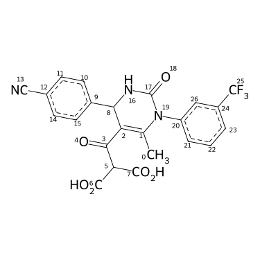 CC1=C(C(=O)C(C(=O)O)C(=O)O)C(c2ccc(C#N)cc2)NC(=O)N1c1cccc(C(F)(F)F)c1